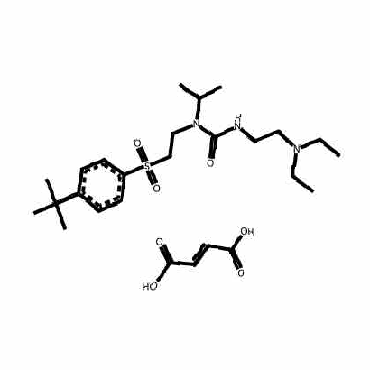 CCN(CC)CCNC(=O)N(CCS(=O)(=O)c1ccc(C(C)(C)C)cc1)C(C)C.O=C(O)C=CC(=O)O